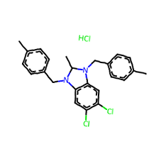 Cc1ccc(CN2c3cc(Cl)c(Cl)cc3N(Cc3ccc(C)cc3)C2C)cc1.Cl